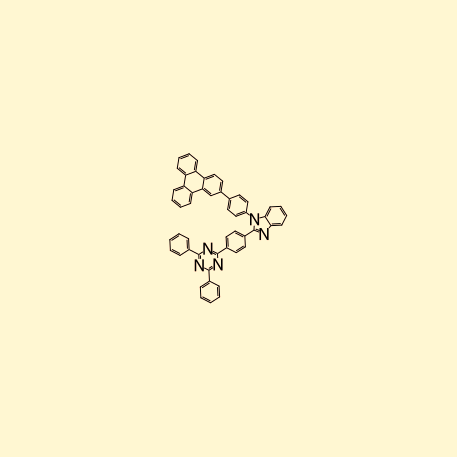 c1ccc(-c2nc(-c3ccccc3)nc(-c3ccc(-c4nc5ccccc5n4-c4ccc(-c5ccc6c7ccccc7c7ccccc7c6c5)cc4)cc3)n2)cc1